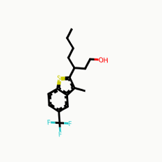 CCCCC(CCO)c1sc2ccc(C(F)(F)F)cc2c1C